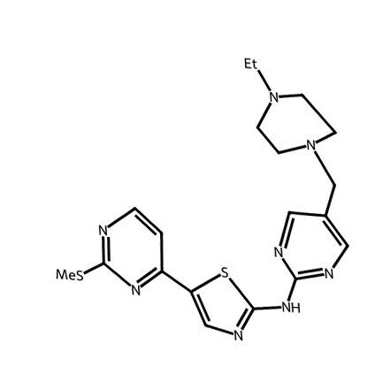 CCN1CCN(Cc2cnc(Nc3ncc(-c4ccnc(SC)n4)s3)nc2)CC1